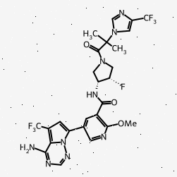 COc1ncc(-c2cc(C(F)(F)F)c3c(N)ncnn23)cc1C(=O)N[C@@H]1CN(C(=O)C(C)(C)n2cnc(C(F)(F)F)c2)C[C@@H]1F